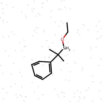 CCO[SiH2]C(C)(C)c1ccccc1